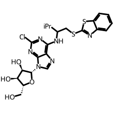 CC(C)C(CSc1nc2ccccc2s1)Nc1nc(Cl)nc2c1ncn2[C@@H]1O[C@H](CO)[C@@H](O)[C@H]1O